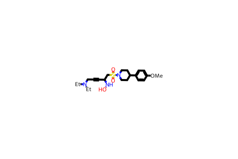 CCN(CC)CC#CC(CS(=O)(=O)N1CCC(c2ccc(OC)cc2)CC1)NO